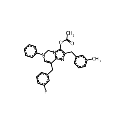 CC(=O)Oc1c(Cc2cccc(C)c2)nc2n1CN(c1ccccc1)C=C2Cc1cccc(F)c1